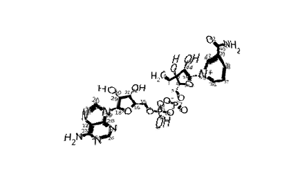 C=C[C@@]1(O)[C@@H](COP(=O)([O-])OP(=O)(O)OC[C@H]2O[C@@H](n3cnc4c(N)ncnc43)[C@H](O)[C@@H]2O)O[C@@H]([n+]2cccc(C(N)=O)c2)[C@@H]1O